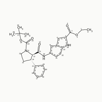 CCOC(=O)c1cc2cc(NC(=O)[C@H]3[C@H](c4ccccc4)CCN3C(=O)OC(C)(C)C)ccc2[nH]1